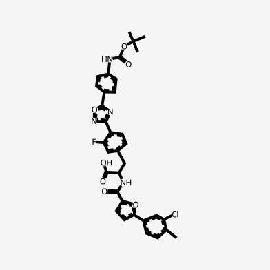 Cc1ccc(-c2ccc(C(=O)NC(Cc3ccc(-c4noc(-c5ccc(NC(=O)OC(C)(C)C)cc5)n4)c(F)c3)C(=O)O)o2)cc1Cl